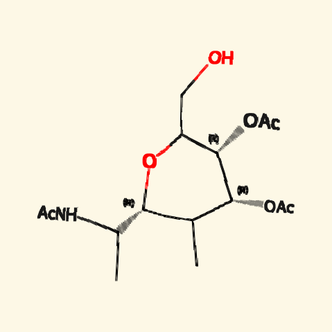 CC(=O)NC(C)[C@@H]1OC(CO)[C@H](OC(C)=O)[C@H](OC(C)=O)C1C